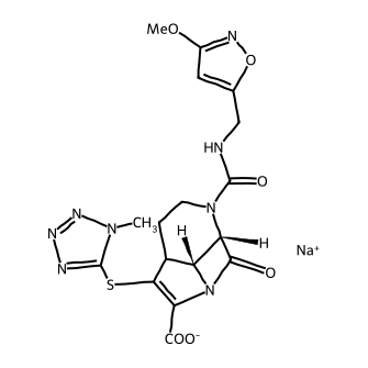 COc1cc(CNC(=O)N2CCC3C(Sc4nnnn4C)=C(C(=O)[O-])N4C(=O)[C@@H]2[C@@H]34)on1.[Na+]